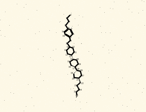 CCCCc1ccc(CCC2CCC([C@H]3CC[C@H]([C@H]4CC[C@H](CCCCF)CC4)CC3)CC2)cc1